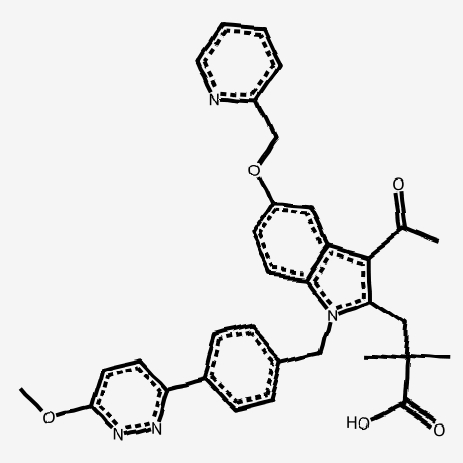 COc1ccc(-c2ccc(Cn3c(CC(C)(C)C(=O)O)c(C(C)=O)c4cc(OCc5ccccn5)ccc43)cc2)nn1